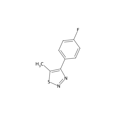 Cc1snnc1-c1ccc(F)cc1